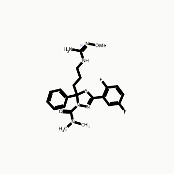 CO/N=C(/N)NCCCC1(c2ccccc2)SC(c2cc(F)ccc2F)=NN1C(=O)N(C)C